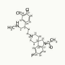 CNCC(CCN1CCC2(CC1)CN(C(C)=O)c1ccc(F)cc12)c1ccc(Cl)c(Cl)c1